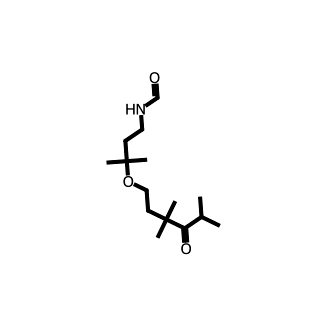 CC(C)C(=O)C(C)(C)CCOC(C)(C)CCNC=O